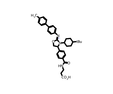 Cc1ccc(-c2ccc(/N=C3\OCC(c4ccc(C(=O)NCCC(=O)O)cc4)N3C3CCC(C(C)(C)C)CC3)cc2)cc1